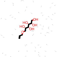 C=CCOC[C@H](O)[C@@H](O)[C@H](O)[C@H](O)CO